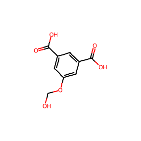 O=C(O)c1cc(OCO)cc(C(=O)O)c1